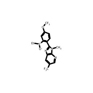 CC[S+]([O-])c1cc(OC(F)(F)F)ccc1-c1nc2cc(C(F)(F)F)cnc2n1C